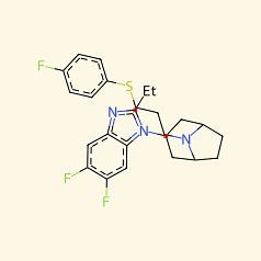 CCc1nc2cc(F)c(F)cc2n1C1CC2CCC(C1)N2CCCSc1ccc(F)cc1